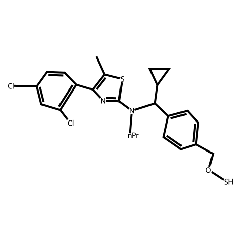 CCCN(c1nc(-c2ccc(Cl)cc2Cl)c(C)s1)C(c1ccc(COS)cc1)C1CC1